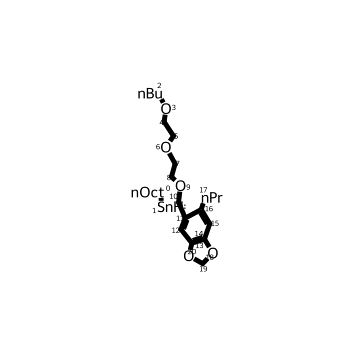 CCCCCCC[CH2][SnH].CCCCOCCOCCOCc1cc2c(cc1CCC)OCO2